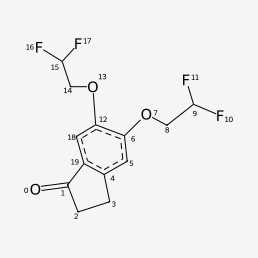 O=C1CCc2cc(OCC(F)F)c(OCC(F)F)cc21